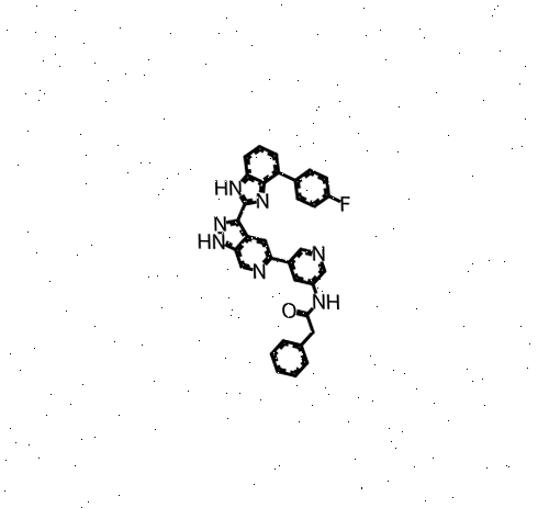 O=C(Cc1ccccc1)Nc1cncc(-c2cc3c(-c4nc5c(-c6ccc(F)cc6)cccc5[nH]4)n[nH]c3cn2)c1